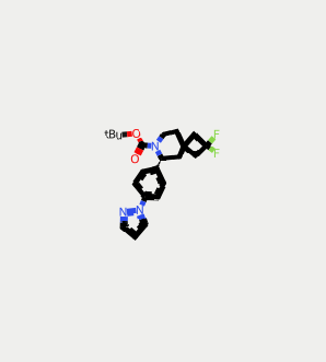 CC(C)(C)OC(=O)N1CCC2(C[C@@H]1c1ccc(-n3cccn3)cc1)CC(F)(F)C2